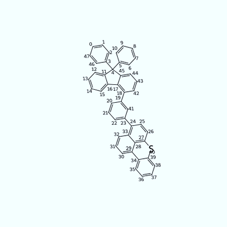 c1ccc(C2(c3ccccc3)c3ccccc3-c3c(-c4cccc(-c5ccc6c7c(cccc57)-c5ccccc5S6)c4)cccc32)cc1